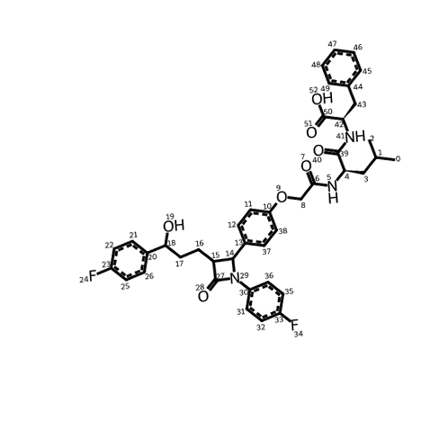 CC(C)C[C@@H](NC(=O)COc1ccc(C2C(CCC(O)c3ccc(F)cc3)C(=O)N2c2ccc(F)cc2)cc1)C(=O)N[C@H](Cc1ccccc1)C(=O)O